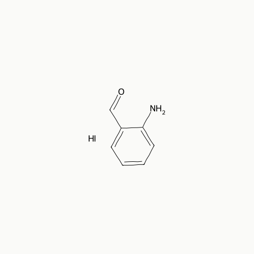 I.Nc1ccccc1C=O